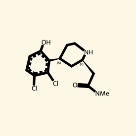 CNC(=O)C[C@H]1C[C@@H](c2c(O)ccc(Cl)c2Cl)CCN1